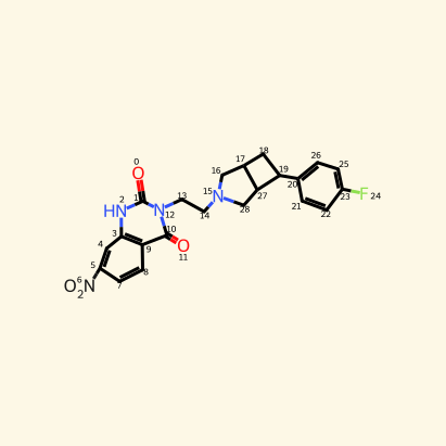 O=c1[nH]c2cc([N+](=O)[O-])ccc2c(=O)n1CCN1CC2CC(c3ccc(F)cc3)C2C1